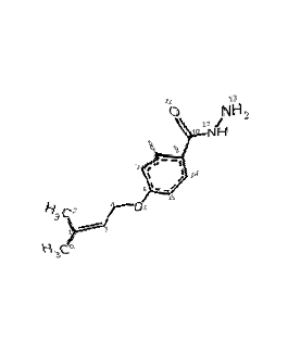 CC(C)=CCOc1ccc(C(=O)NN)cc1